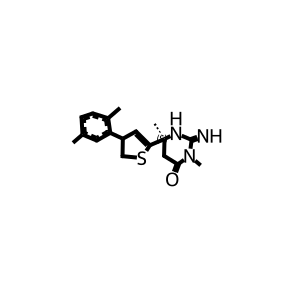 Cc1ccc(C)c(C2C=C([C@]3(C)CC(=O)N(C)C(=N)N3)SC2)c1